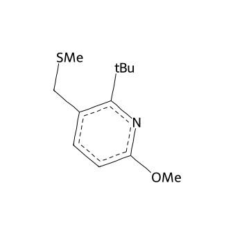 COc1ccc(CSC)c(C(C)(C)C)n1